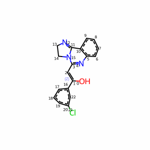 O/C(=C\C1=Nc2ccccc2C2=NCCN12)c1cccc(Cl)c1